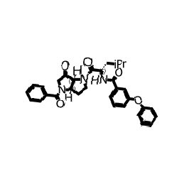 CC(C)C[C@H](NC(=O)c1cccc(Oc2ccccc2)c1)C(=O)N1CC[C@@H]2[C@H]1C(=O)CN2C(=O)c1ccccc1